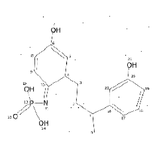 CC(CCC1C=C(O)C=CC1=NP(=O)(O)O)c1cccc(O)c1